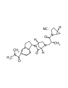 C[C@@H](CN1C[C@@H]2C[C@H]1C(=O)N2[C@@H]1CCc2cc(C(=O)N(C)C)ccc21)C(=O)N1C2C[C@H]2C[C@H]1C#N